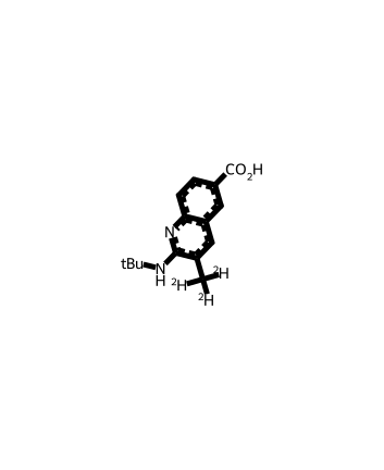 [2H]C([2H])([2H])c1cc2cc(C(=O)O)ccc2nc1NC(C)(C)C